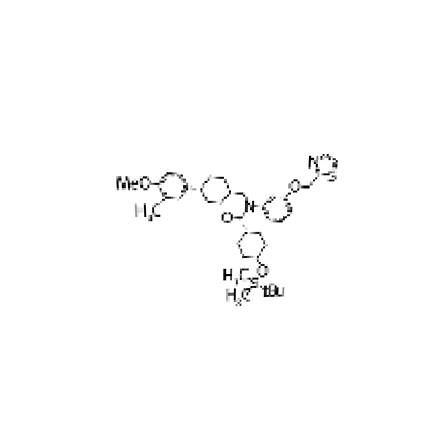 COc1ccc([C@H]2CC[C@H](CN(c3cccc(OCc4nccs4)c3)C(=O)[C@H]3CC[C@H](O[Si](C)(C)C(C)(C)C)CC3)CC2)cc1C